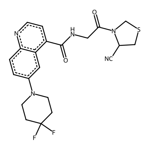 N#CC1CSCN1C(=O)CNC(=O)c1ccnc2ccc(N3CCC(F)(F)CC3)cc12